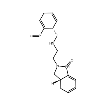 O=PC1=CCC=C[C@@H]1CNCCN1C[C@H]2CC=CC=C2[PH]1=O